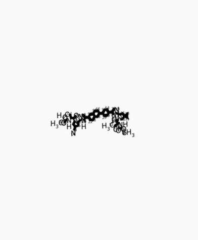 CCC(NC(=O)OC)C(=O)N1CC(C#N)CC1c1ncc(-c2ccc3cc(-c4ccc(-c5cnc(C6CC7(CC7)CN6C(=O)C(NC(=O)OC)C(C)C)[nH]5)cc4)ccc3c2)[nH]1